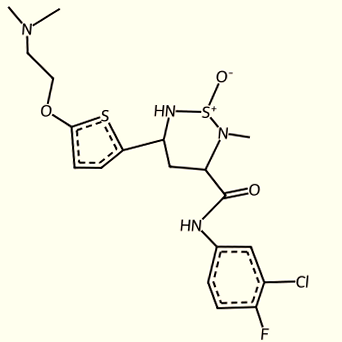 CN(C)CCOc1ccc(C2CC(C(=O)Nc3ccc(F)c(Cl)c3)N(C)[S+]([O-])N2)s1